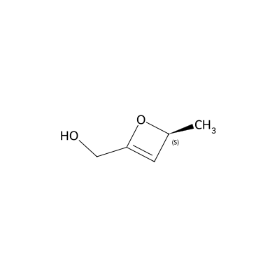 C[C@H]1C=C(CO)O1